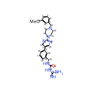 COc1cccc(CN2CCN(c3ncc(-c4cccc(CNC(=O)NC(=N)N)c4)cn3)CC2)c1